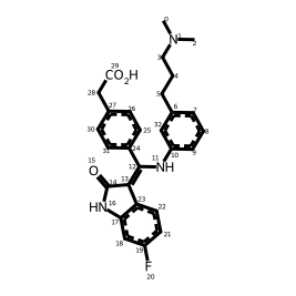 CN(C)CCCc1cccc(NC(=C2C(=O)Nc3cc(F)ccc32)c2ccc(CC(=O)O)cc2)c1